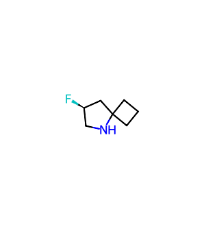 F[C@@H]1CNC2(CCC2)C1